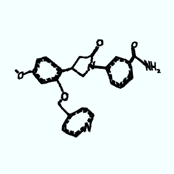 COc1ccc(C2CC(=O)N(c3cccc(C(N)=O)c3)C2)c(OCc2ccncc2)c1